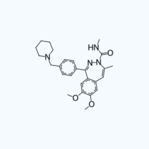 CNC(=O)N1N=C(c2ccc(CN3CCCCC3)cc2)c2cc(OC)c(OC)cc2C=C1C